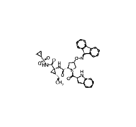 C=C[C@@H]1C[C@]1(NC(=O)[C@@H]1C[C@@H](ON=C2c3ccccc3-c3ccccc32)CN1C(=O)[C@@H]1Cc2ccccc2N1)C(=O)NS(=O)(=O)C1CC1